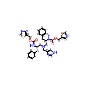 O=C(N[C@@H](Cc1ccccc1)CN(Cc1c[nH]cn1)C[C@H](Cc1ccccc1)NC(=O)OCc1cncs1)OCc1cncs1